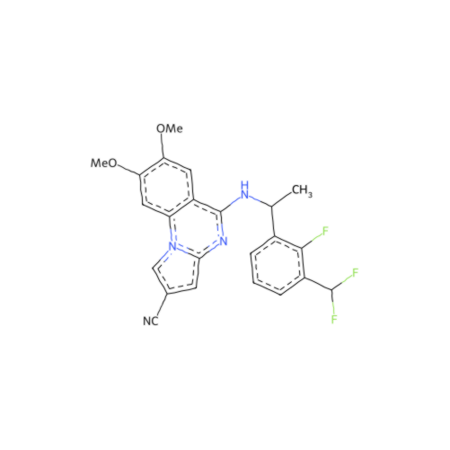 COc1cc2c(NC(C)c3cccc(C(F)F)c3F)nc3cc(C#N)cn3c2cc1OC